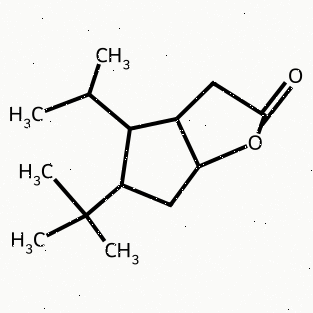 CC(C)C1C2CC(=O)OC2CC1C(C)(C)C